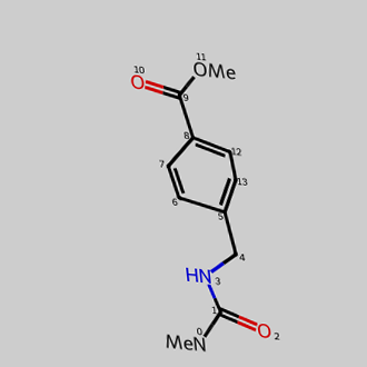 CNC(=O)NCc1ccc(C(=O)OC)cc1